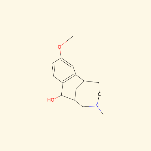 COc1ccc2c(c1)C1CCN(C)CC(C1)C2O